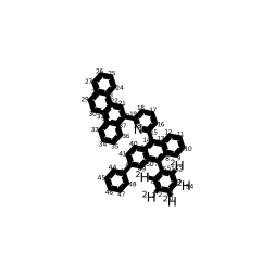 [2H]c1c([2H])c([2H])c(-c2c3ccccc3c(-c3cccc(-c4cc5c6ccccc6ccc5c5ccccc45)n3)c3ccc(-c4ccccc4)cc23)c([2H])c1[2H]